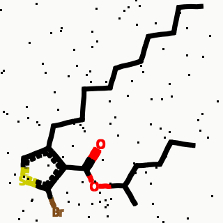 CCCCCCCCCCc1csc(Br)c1C(=O)OC(C)CCCC